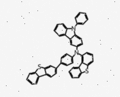 c1ccc(-n2c3ccccc3c3cc(N(c4ccc(-c5ccc6c(c5)sc5ccccc56)cc4)c4cccc5sc6ccccc6c45)ccc32)cc1